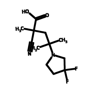 CC(C#N)(CC(C)(C)N1CCC(F)(F)C1)C(=O)O